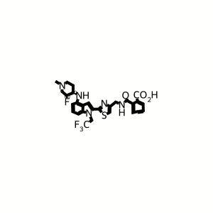 CN1CC[C@@H](Nc2cccc3c2cc(-c2nc(CNC(=O)c4ccccc4C(=O)O)cs2)n3CC(F)(F)F)[C@@H](F)C1